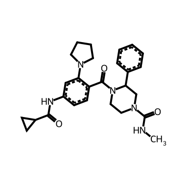 CNC(=O)N1CCN(C(=O)c2ccc(NC(=O)C3CC3)cc2N2CCCC2)C(c2ccccc2)C1